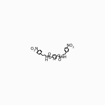 O=C(NCCc1ccc([N+](=O)[O-])cc1)Oc1ccc(OC(=O)NCCc2ccc([N+](=O)[O-])cc2)nc1